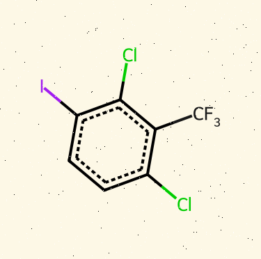 FC(F)(F)c1c(Cl)ccc(I)c1Cl